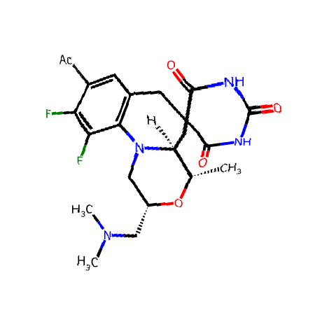 CC(=O)c1cc2c(c(F)c1F)N1C[C@@H](CN(C)C)O[C@@H](C)[C@@H]1C1(C2)C(=O)NC(=O)NC1=O